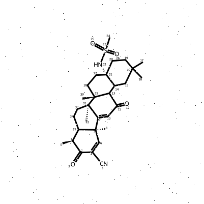 C[C@@H]1C(=O)C(C#N)=C[C@]2(C)C3=CC(=O)C4C5CC(C)(C)CC[C@]5(NS(C)(=O)=O)CC[C@@]4(C)[C@]3(C)CCC12